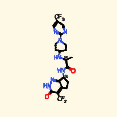 C[C@H](NC1CCN(c2ncc(C(F)(F)F)cn2)CC1)C(=O)N[C@@H]1CCc2c1n[nH]c(=O)c2C(F)(F)F